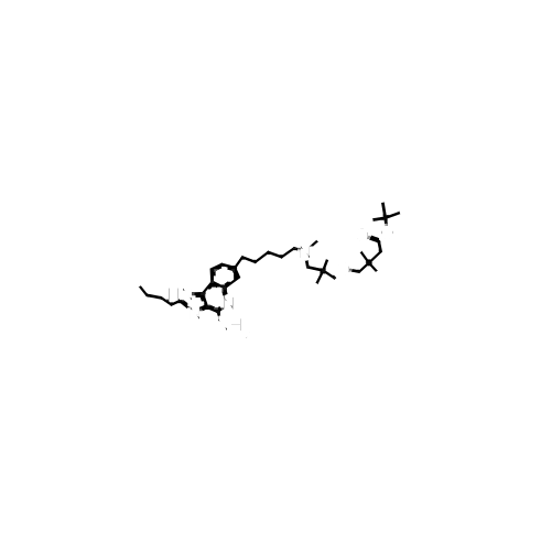 CCCCc1nc2c(N)nc3cc(CCCCCN(C)CC(C)(C)COCC(C)(C)CC(=O)OC(C)(C)C)ccc3c2[nH]1